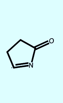 O=C1CC[C]=N1